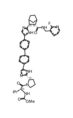 COC(=O)N[C@H](C(=O)N1CCC[C@H]1c1ncc(-c2ccc(-c3ccc(-c4cnc([C@H]5C6CCC(C6)[C@@H]5C(=O)NCc5cccnc5F)[nH]4)cc3)cc2)[nH]1)C(C)C